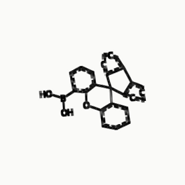 OB(O)c1cccc2c1Oc1ccccc1C21c2ccccc2-c2ccccc21